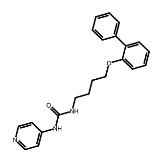 O=C(NCCCCOc1ccccc1-c1ccccc1)Nc1ccncc1